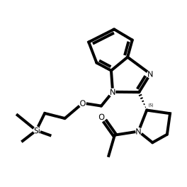 CC(=O)N1CCC[C@H]1c1nc2ccccc2n1COCC[Si](C)(C)C